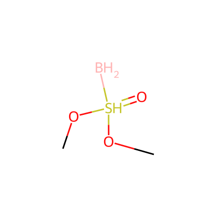 B[SH](=O)(OC)OC